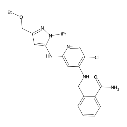 CCOCc1cc(Nc2cc(NCc3ccccc3C(N)=O)c(Cl)cn2)n(C(C)C)n1